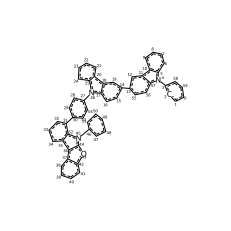 c1ccc(-n2c3ccccc3c3cc(-c4ccc5c(c4)c4ccccc4n5-c4ccc(-c5cccc6c7c8ccccc8oc7n(-c7ccccc7)c56)cc4)ccc32)cc1